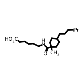 CC(C)CCCC1CCC(C)(C(=O)NCCCCCC(=O)O)CC1